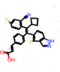 N#Cc1cc(F)ccc1/C(=C(\c1ccc(/C=C/C(=O)O)cc1)c1ccc2[nH]ncc2c1F)C1CCC1